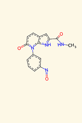 CNC(=O)c1cc2ccc(=O)n(-c3cccc(N=O)c3)c2[nH]1